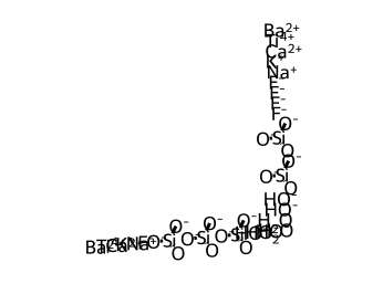 O.O.O=[Si]([O-])[O-].O=[Si]([O-])[O-].O=[Si]([O-])[O-].O=[Si]([O-])[O-].O=[Si]([O-])[O-].[Ba+2].[Ba+2].[Ca+2].[Ca+2].[F-].[F-].[F-].[F-].[F-].[K+].[K+].[Na+].[Na+].[OH-].[OH-].[OH-].[OH-].[OH-].[Ti+4].[Ti+4]